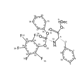 CCCCCCCCCCOC(=O)[C@H](Cc1ccccc1)N[P@](=O)(Oc1ccccc1)Oc1c(F)c(F)c(F)c(F)c1F